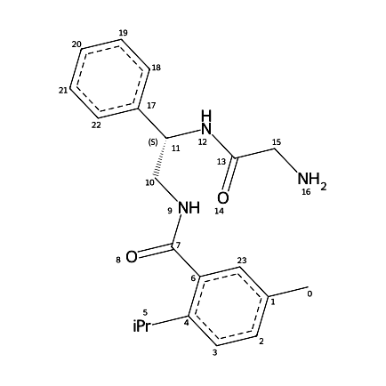 Cc1ccc(C(C)C)c(C(=O)NC[C@@H](NC(=O)CN)c2ccccc2)c1